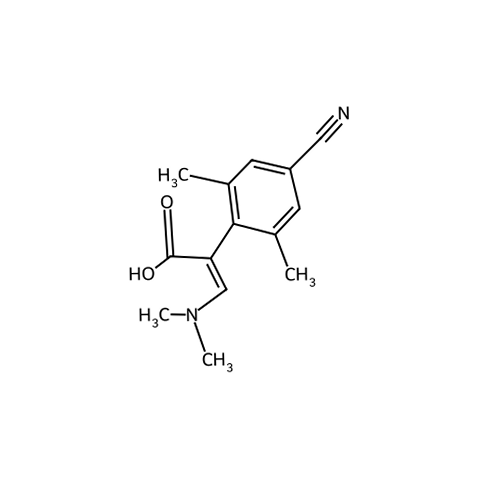 Cc1cc(C#N)cc(C)c1/C(=C/N(C)C)C(=O)O